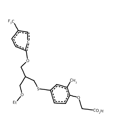 CCOCC(COc1ccc(C(F)(F)F)cc1)CSc1ccc(OCC(=O)O)c(C)c1